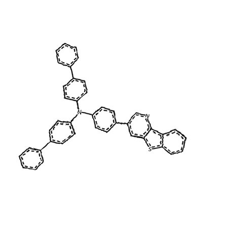 c1ccc(-c2ccc(N(c3ccc(-c4ccccc4)cc3)c3ccc(-c4cnc5c(c4)sc4ccccc45)cc3)cc2)cc1